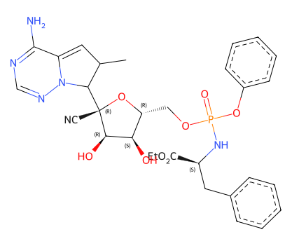 CCOC(=O)[C@H](Cc1ccccc1)NP(=O)(OC[C@H]1O[C@@](C#N)(C2C(C)C=C3C(N)=NC=NN32)[C@H](O)[C@@H]1O)Oc1ccccc1